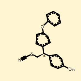 N#CSC[C@H](c1ccc(O)cc1)c1ccc(Oc2ccccc2)cc1